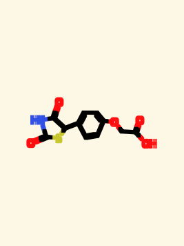 O=C(O)COc1ccc(C2SC(=O)NC2=O)cc1